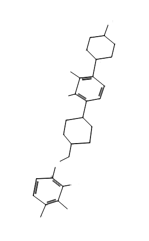 CCCc1ccc(OCC2CCC(c3ccc(C4CCC(CC)CC4)c(F)c3F)CC2)c(F)c1F